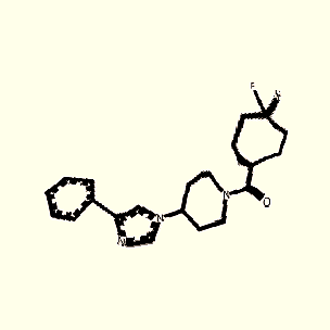 O=C(C1CCC(F)(F)CC1)N1CCC(n2cnc(-c3ccccc3)c2)CC1